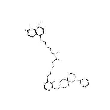 CN(CCNC[C@H](O)c1ccc(O)c2[nH]c(=O)ccc12)C(=O)CCOCCc1cccc(CN2CCC3(CC2)CN(c2ncccn2)CCO3)c1F